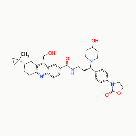 CC1([C@H]2CCc3nc4ccc(C(=O)NCC[C@H](c5ccc(N6CCOC6=O)cc5)N5CCC(O)CC5)cc4c(CO)c3C2)CC1